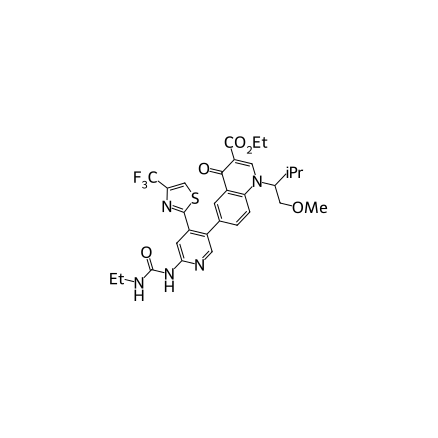 CCNC(=O)Nc1cc(-c2nc(C(F)(F)F)cs2)c(-c2ccc3c(c2)c(=O)c(C(=O)OCC)cn3C(COC)C(C)C)cn1